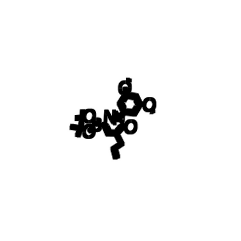 C=CCc1cc(B2OC(C)(C)C(C)(C)O2)nn(-c2cc(OC)cc(OC)c2)c1=O